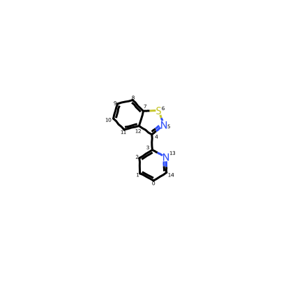 c1ccc(-c2nsc3ccccc23)nc1